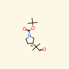 CC(C)(C)OC(=O)N1CC[C@H](C(C)(C)C=O)C1